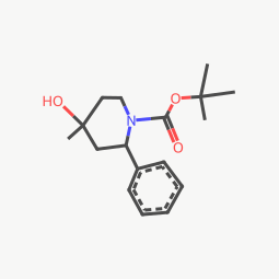 CC1(O)CCN(C(=O)OC(C)(C)C)C(c2ccccc2)C1